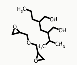 C(OCC1CO1)C1CO1.CCCC(CO)CC(CO)C(C)C